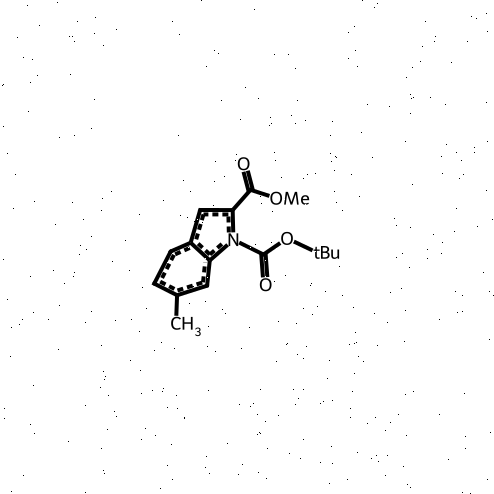 COC(=O)c1cc2ccc(C)cc2n1C(=O)OC(C)(C)C